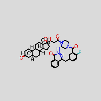 C[C@]12CCC(=O)C[C@@H]1CC[C@@H]1[C@@H]2CC[C@@]2(C)[C@H]1CCC2(O)CCC(=O)N1CCN(C(=O)c2cc(Cc3n[nH]c(=O)c4ccccc34)ccc2F)CC1